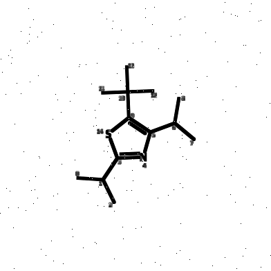 CC(C)c1nc(C(C)C)c(C(C)(C)C)s1